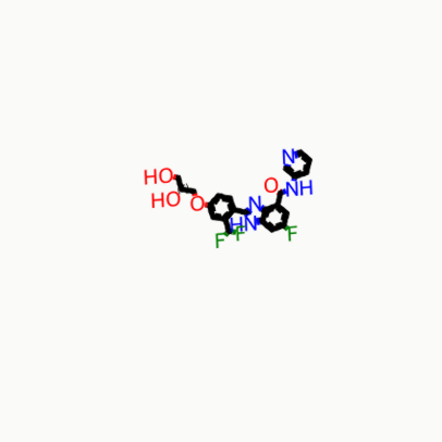 O=C(Nc1cccnc1)c1cc(F)cc2[nH]c(-c3ccc(OC[C@@H](O)CO)cc3C(F)F)nc12